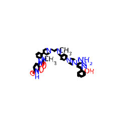 CN(CCCN1CCC(c2cccc3c2n(C)c(=O)n3C2CCC(=O)NC2=O)CC1)Cc1ccc(N2CCN(c3cc(-c4ccccc4O)nnc3N)CC2)cc1